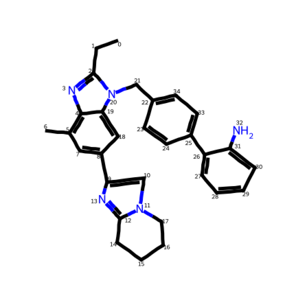 CCc1nc2c(C)cc(-c3cn4c(n3)CCCC4)cc2n1Cc1ccc(-c2ccccc2N)cc1